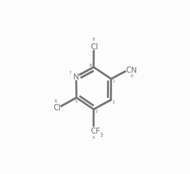 N#Cc1cc(C(F)(F)F)c(Cl)nc1Cl